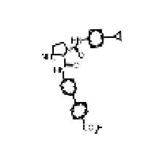 N.O=C(O)c1ccc(-c2ccc(NC(=O)[C@H]3CCCN3C(=O)Nc3ccc(C4CC4)cc3)cc2)cc1